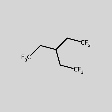 FC(F)(F)CC(CC(F)(F)F)CC(F)(F)F